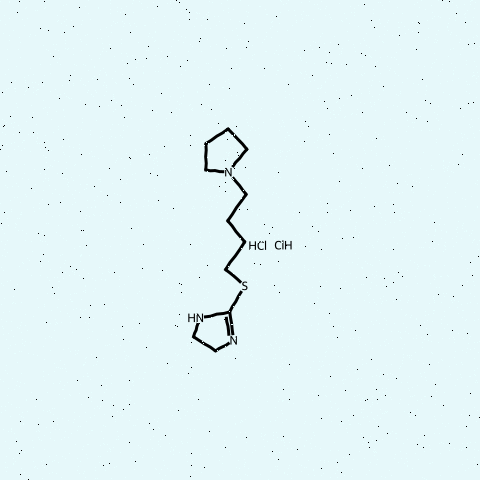 C(CCN1CCCC1)CSC1=NCCN1.Cl.Cl